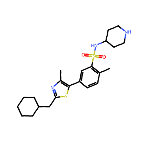 Cc1ccc(-c2sc(CC3CCCCC3)nc2C)cc1S(=O)(=O)NC1CCNCC1